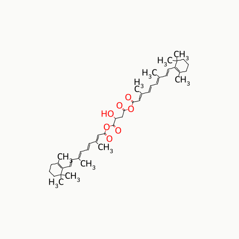 CC1=C(/C=C/C(C)=C/C=C/C(C)=C/C(=O)OC(=O)CC(O)C(=O)OC(=O)/C=C(C)/C=C/C=C(C)/C=C/C2=C(C)CCCC2(C)C)C(C)(C)CCC1